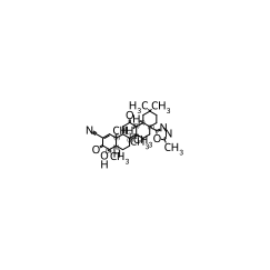 Cc1nnc([C@]23CCC(C)(C)C[C@H]2[C@H]2C(=O)C=C4[C@@]5(C)C=C(C#N)C(=O)[C@@](C)(O)[C@@H]5CC[C@@]4(C)[C@]2(C)CC3)o1